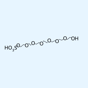 O=S(=O)(O)OCCOCCOCCOCCOCCOCCOCCO